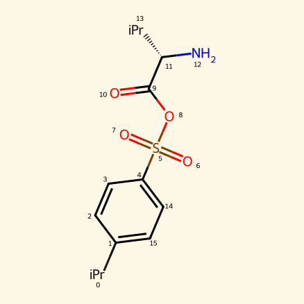 CC(C)c1ccc(S(=O)(=O)OC(=O)[C@@H](N)C(C)C)cc1